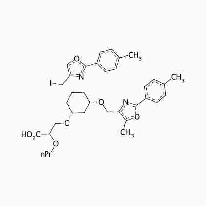 CCCOC(CO[C@@H]1CCC[C@H](OCc2nc(-c3ccc(C)cc3)oc2C)C1)C(=O)O.Cc1ccc(-c2nc(CI)co2)cc1